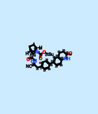 CC(C)(C)OC(=O)N1[C@@H]2CC[C@@H](C2)[C@H]1C(=O)N[C@H](C#N)Cc1ccc(-c2ccc3c(c2)CCC(=O)N3)cc1